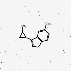 COc1ccc2scc(C3CC3N)c2c1